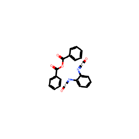 O=C(OC(=O)c1ccccc1)c1ccccc1.O=C=Nc1ccccc1N=C=O